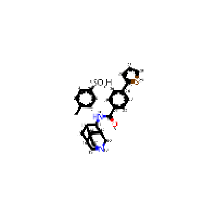 Cc1ccc(S(=O)(=O)O)cc1.O=C(NC1C2CC3CC1CN(C3)C2)c1ccc(-c2cccs2)cc1